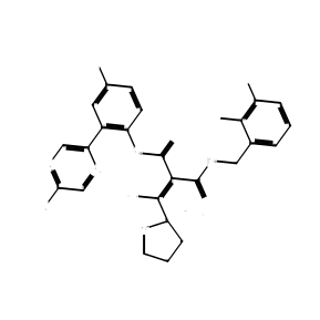 C[C@]1(/C(O)=C(\C(=O)NCc2cccc(F)c2F)C(=O)Nc2ccc(C(F)(F)F)cc2-c2cnc(N)cn2)CCCN1